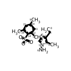 C=Cc1sc[n+](N)c1C.Cc1cc(C)c(S(=O)(=O)[O-])c(C)c1